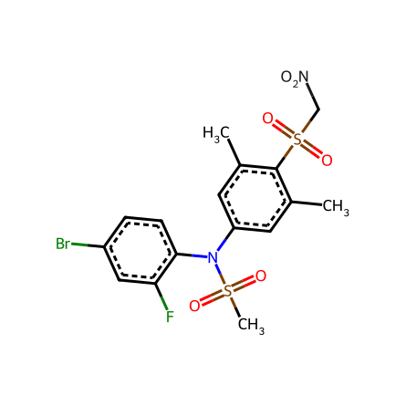 Cc1cc(N(c2ccc(Br)cc2F)S(C)(=O)=O)cc(C)c1S(=O)(=O)C[N+](=O)[O-]